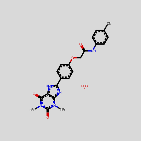 CCCn1c(=O)c2[nH]c(-c3ccc(OCC(=O)Nc4ccc(C#N)cc4)cc3)nc2n(CCC)c1=O.O